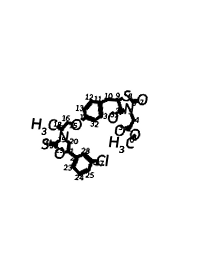 COC(=O)CN1C(=O)SC(Cc2ccc(OCC(C)N3CC(c4cccc(Cl)c4)OC3=S)cc2)C1=O